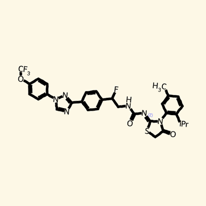 Cc1ccc(C(C)C)c(N2C(=O)CS/C2=N\C(=O)NCC(F)c2ccc(-c3ncn(-c4ccc(OC(F)(F)F)cc4)n3)cc2)c1